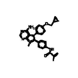 C=C(C)C(=O)Nc1ccc(-c2c(-c3ccc(OCC4CC4)cc3)c3c(N)ncnc3n2C)cc1